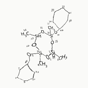 C[SiH]1O[Si](C)(OC2CCCCC2)O[SiH](C)O[Si](C)(OC2CCCCC2)O1